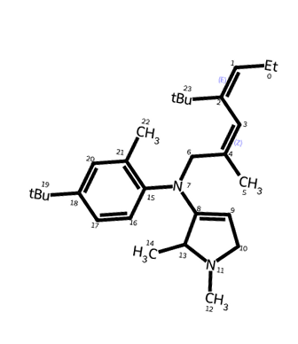 CC/C=C(\C=C(\C)CN(C1=CCN(C)C1C)c1ccc(C(C)(C)C)cc1C)C(C)(C)C